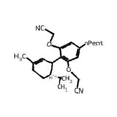 C=C(C)[C@@H]1CCC(C)=CC1c1c(OCC#N)cc(CCCCC)cc1OCC#N